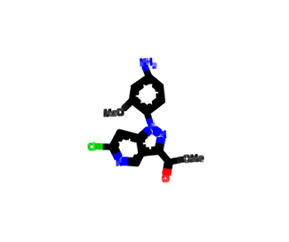 COC(=O)c1nn(-c2ccc(N)cc2OC)c2cc(Cl)ncc12